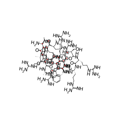 CC(C)C[C@H](NC(=O)[C@H](C)NC(=O)[C@H](CC(C)C)NC(=O)[C@@H]1CCCN1C)C(=O)N[C@@H](Cc1c[nH]c2ccccc12)C(=O)N[C@@H](CCCNC(=N)N)C(=O)N[C@@H](CO)C(=O)N[C@H](CCCNC(=N)N)C(=O)N[C@H](CCCNC(=N)N)C(=O)N[C@H](CCCNC(=N)N)C(=O)N[C@H](CCCNC(=N)N)C(=O)N[C@H](CCCNC(=N)N)C(=O)N[C@H](CCCNC(=N)N)C(=O)N[C@@H](C)CCCNC(=N)N